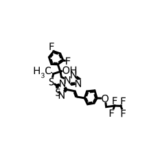 C[C@@H](Sc1nc(C=Cc2ccc(OCC(F)(F)C(F)F)cc2)ns1)C(O)(Cn1cncn1)c1ccc(F)cc1F